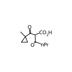 CCCC(=O)C(C(=O)O)C(=O)C1(C)CC1